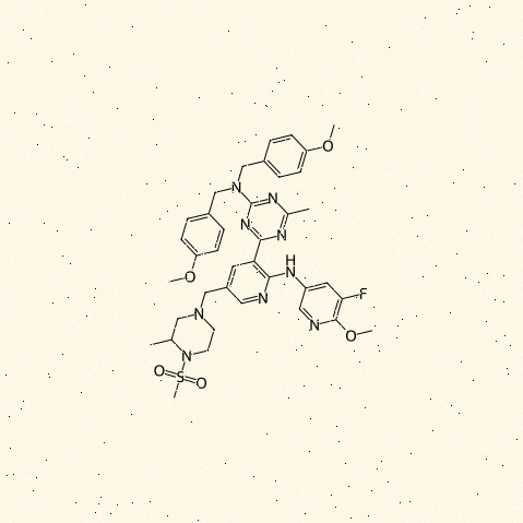 COc1ccc(CN(Cc2ccc(OC)cc2)c2nc(C)nc(-c3cc(CN4CCN(S(C)(=O)=O)C(C)C4)cnc3Nc3cnc(OC)c(F)c3)n2)cc1